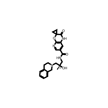 C[C@](O)(CNC(=O)c1cnc2c(c1)NC(=O)C1(CC1)O2)CN1CCc2ccccc2C1